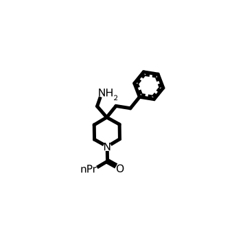 CCCC(=O)N1CCC(CN)(CCc2ccccc2)CC1